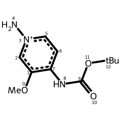 COc1c[n+](N)ccc1NC(=O)OC(C)(C)C